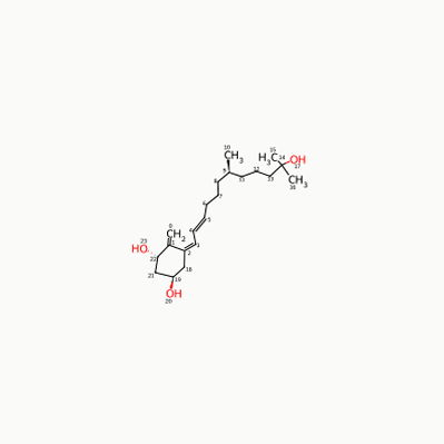 C=C1/C(=C\C=C\CCC[C@@H](C)CCCC(C)(C)O)C[C@@H](O)C[C@@H]1O